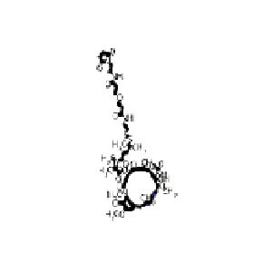 COc1cc2cc(c1Cl)N(C)C(=O)CC(OC(=O)C(C)N(C)C(=O)CCC(C)(C)SSCCNC(=O)CCOCCC(=O)NCCN1C(=O)C=CC1=O)C1(C)OC1C(C)C1CC(O)(NC(=O)O1)C(OC)/C=C/C=C(\C)C2